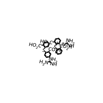 N=C(N)N.N=C(N)N.O=C(O)c1ccccc1Sc1ccccc1C(=O)O.O=C(O)c1ccccc1Sc1ccccc1C(=O)O